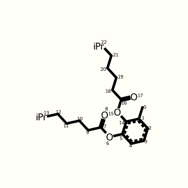 Cc1cccc(OC(=O)CCCCC(C)C)c1OC(=O)CCCCC(C)C